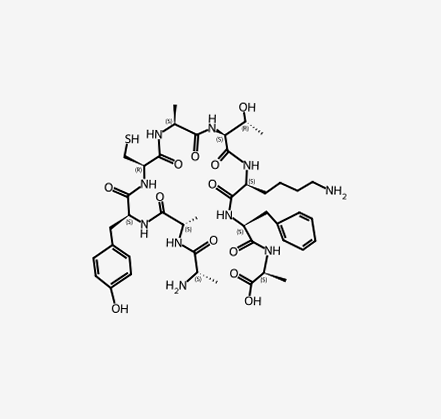 C[C@H](N)C(=O)N[C@@H](C)C(=O)N[C@@H](Cc1ccc(O)cc1)C(=O)N[C@@H](CS)C(=O)N[C@@H](C)C(=O)N[C@H](C(=O)N[C@@H](CCCCN)C(=O)N[C@@H](Cc1ccccc1)C(=O)N[C@@H](C)C(=O)O)[C@@H](C)O